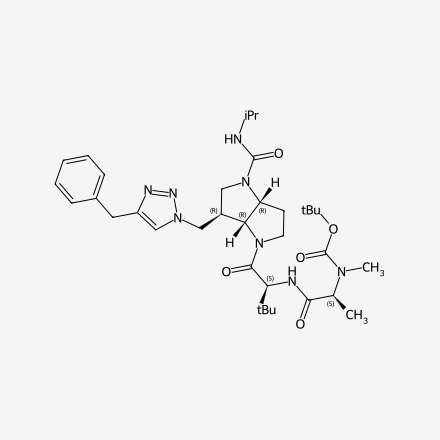 CC(C)NC(=O)N1C[C@H](Cn2cc(Cc3ccccc3)nn2)[C@@H]2[C@H]1CCN2C(=O)[C@@H](NC(=O)[C@H](C)N(C)C(=O)OC(C)(C)C)C(C)(C)C